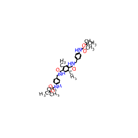 Cc1cc(C(=O)NCc2ccc(NC(=O)OC(C)(C)C)cc2)c(C)cc1C(=O)NCc1ccc(NC(=O)OC(C)(C)C)cc1